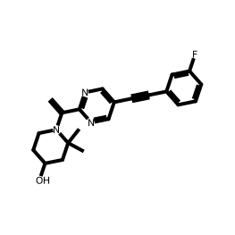 C=C(c1ncc(C#Cc2cccc(F)c2)cn1)N1CCC(O)CC1(C)C